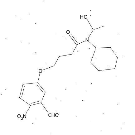 CC(O)N(C(=O)CCCOc1ccc([N+](=O)[O-])c(C=O)c1)C1CCCCC1